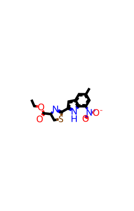 CCOC(=O)C1CSC(c2cc3cc(C)cc([N+](=O)[O-])c3[nH]2)=N1